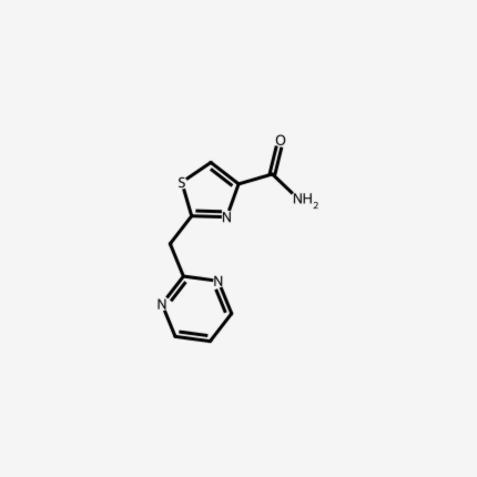 NC(=O)c1csc(Cc2ncccn2)n1